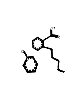 CCCCCc1ccccc1C(=O)O.Clc1ccccc1